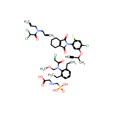 C#CC(C)Oc1cc(N2C(=O)C3=C(CCCC3)C2=O)c(F)cc1Cl.C=CCN(CC=C)C(=O)C(Cl)Cl.CCc1cccc(CC)c1N(COC)C(=O)CCl.O=C(O)CNCP(=O)(O)O